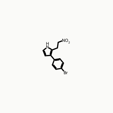 O=[N+]([O-])CCc1[nH]ccc1-c1ccc(Br)cc1